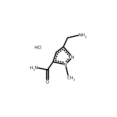 Cl.Cn1nc(CN)cc1C(N)=O